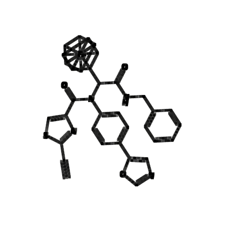 C#Cc1nc(C(=O)N(c2ccc(-c3cnco3)cc2)C(C(=O)NCc2ccccc2)[C]23[CH]4[CH]5[CH]6[CH]2[Fe]56432789[CH]3[CH]2[CH]7[CH]8[CH]39)cs1